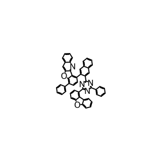 c1ccc(-c2nc(-c3cc4ccccc4cc3-c3ccc(-c4ccccc4)c4oc5cc6ccccc6nc5c34)nc(-c3cccc4oc5ccccc5c34)n2)cc1